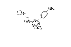 CC(C)(C)c1ccc(-c2nc(NCCCN3CCCC3)nc(C(Cl)(Cl)Cl)n2)cc1